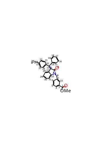 COC(=O)c1cccc(CN2C(=O)/C(=C(\c3ccccc3)c3ccc(C(C)C)cc3)c3ccccc32)c1